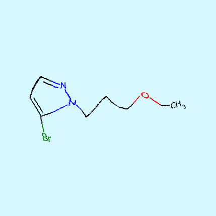 COCCCn1nccc1Br